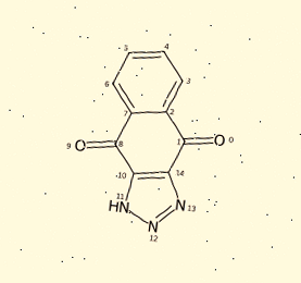 O=C1c2ccccc2C(=O)c2[nH]nnc21